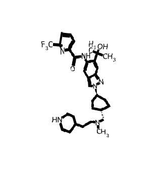 CN(CCC1CCNCC1)C[C@H]1CC[C@H](n2cc3cc(NC(=O)c4cccc(C(F)(F)F)n4)c(C(C)(C)O)cc3n2)CC1